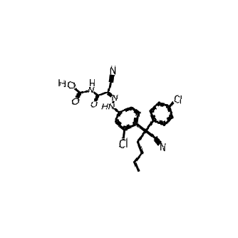 CCCCC(C#N)(c1ccc(Cl)cc1)c1ccc(NN=C(C#N)C(=O)NC(=O)O)cc1Cl